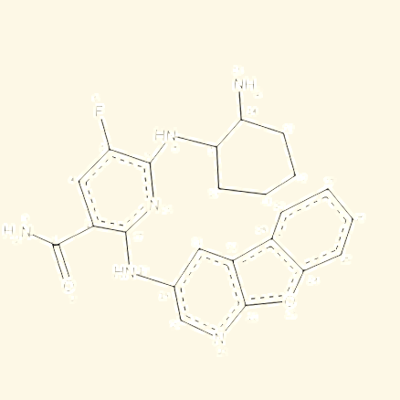 NC(=O)c1cc(F)c(NC2CCCCC2N)nc1Nc1cnc2oc3ccccc3c2c1